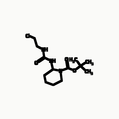 CC(C)(C)OC(=O)N1CCCCC1NC(=O)NCCCl